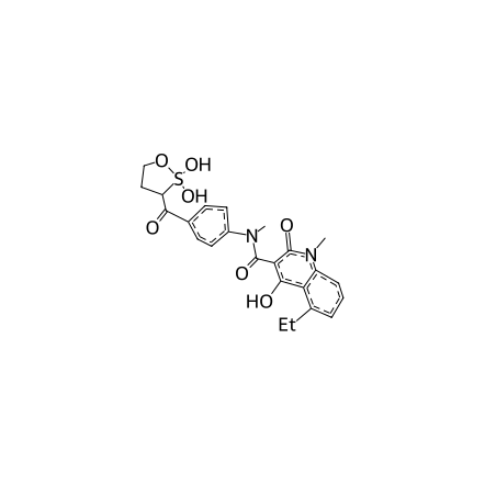 CCc1cccc2c1c(O)c(C(=O)N(C)c1ccc(C(=O)C3CCOS3(O)O)cc1)c(=O)n2C